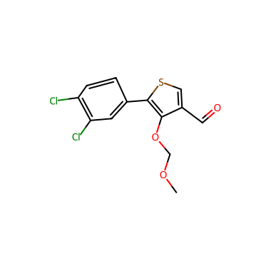 COCOc1c(C=O)csc1-c1ccc(Cl)c(Cl)c1